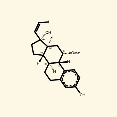 CO[C@H]1C[C@@]2(C)[C@@H](CC[C@@]2(O)/C=C\I)[C@@H]2CCc3cc(O)ccc3[C@H]21